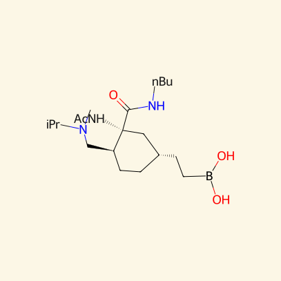 CCCCNC(=O)[C@@]1(NC(C)=O)C[C@H](CCB(O)O)CC[C@H]1CN(C)C(C)C